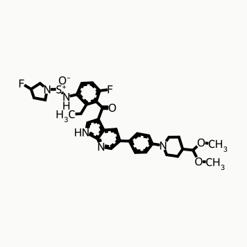 CCc1c(N[S+]([O-])N2CCC(F)C2)ccc(F)c1C(=O)c1c[nH]c2ncc(-c3ccc(N4CCC(C(OC)OC)CC4)cc3)cc12